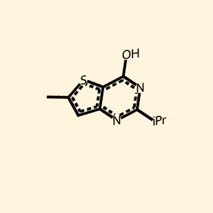 Cc1cc2nc(C(C)C)nc(O)c2s1